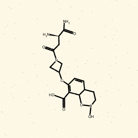 NC(=O)[C@H](N)CC(=O)N1CC(OC2=C(C(=O)O)C3OB(O)CCC3C=C2)C1